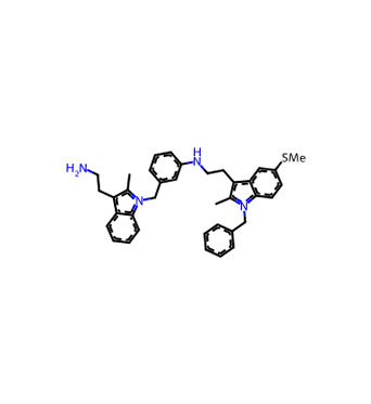 CSc1ccc2c(c1)c(CCNc1cccc(Cn3c(C)c(CCN)c4ccccc43)c1)c(C)n2Cc1ccccc1